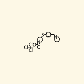 O=C(OCC(Cl)(Cl)Cl)N1CCC(Sc2ccc(CN3CCCCC3)cc2)CC1